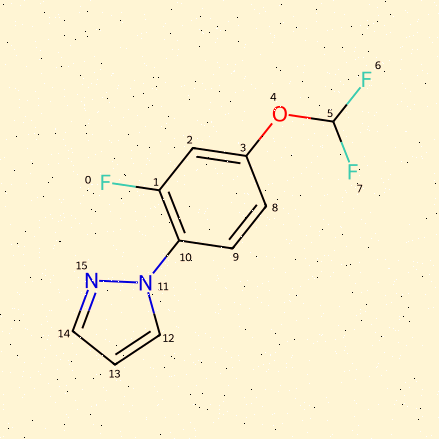 Fc1cc(OC(F)F)ccc1-n1cccn1